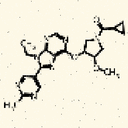 CCn1c(-c2cnc(C)nc2)nc2c(OC3CN(C(=O)C4CC4)CC3OC)ncnc21